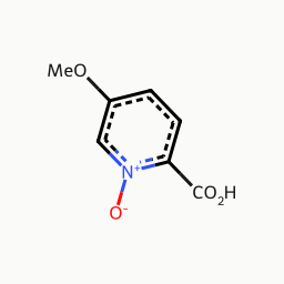 COc1ccc(C(=O)O)[n+]([O-])c1